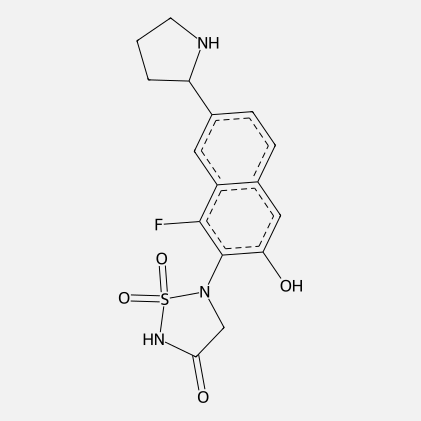 O=C1CN(c2c(O)cc3ccc(C4CCCN4)cc3c2F)S(=O)(=O)N1